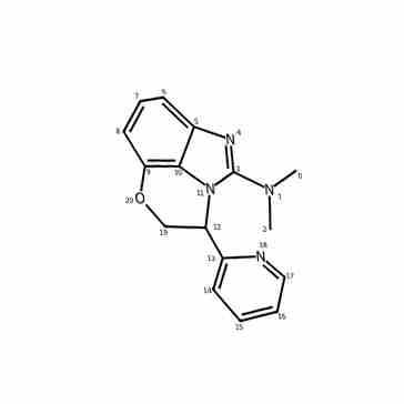 CN(C)c1nc2cccc3c2n1C(c1ccccn1)CO3